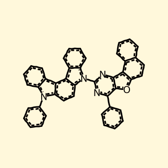 c1ccc(-c2nc(-n3c4ccccc4c4c5c6ccccc6n(-c6ccccc6)c5ccc43)nc3c2oc2ccc4ccccc4c23)cc1